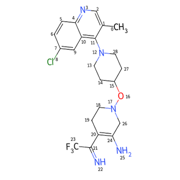 Cc1cnc2ccc(Cl)cc2c1N1CCC(ON2CCC(C(=N)C(F)(F)F)=C(N)C2)CC1